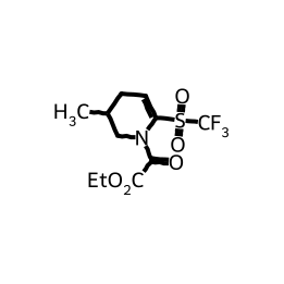 CCOC(=O)C(=O)N1CC(C)CC=C1S(=O)(=O)C(F)(F)F